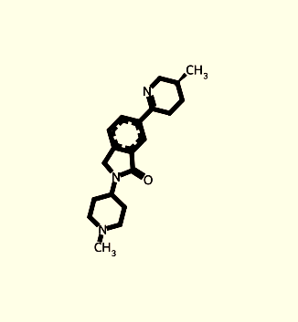 C[C@H]1CCC(c2ccc3c(c2)C(=O)N(C2CCN(C)CC2)C3)=NC1